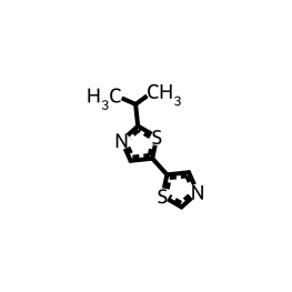 CC(C)c1ncc(-c2cncs2)s1